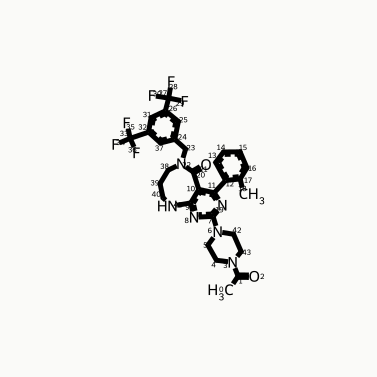 CC(=O)N1CCN(c2nc3c(c(-c4ccccc4C)n2)C(=O)N(Cc2cc(C(F)(F)F)cc(C(F)(F)F)c2)CCCN3)CC1